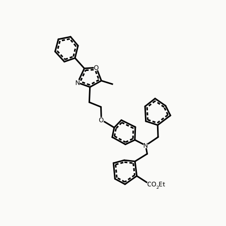 CCOC(=O)c1ccccc1CN(Cc1ccccc1)c1ccc(OCCc2nc(-c3ccccc3)oc2C)cc1